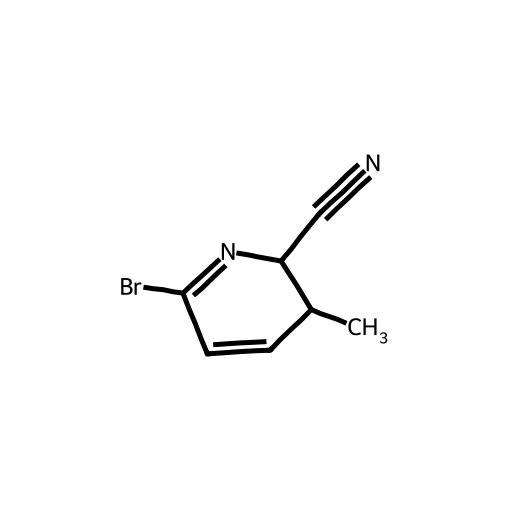 CC1C=CC(Br)=NC1C#N